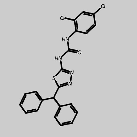 O=C(Nc1nnc(C(c2ccccc2)c2ccccc2)s1)Nc1ccc(Cl)cc1Cl